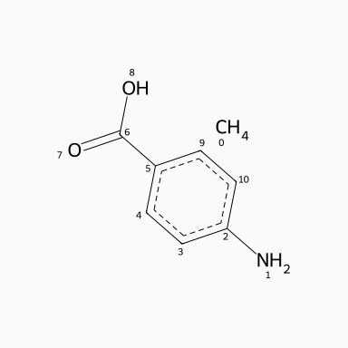 C.Nc1ccc(C(=O)O)cc1